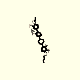 CCCCOc1ccc(C2CCC(c3ccc(-c4ccc(OCC)c(F)c4F)c(F)c3)CC2)c(F)c1F